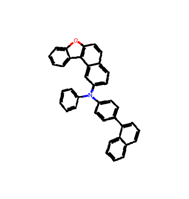 c1ccc(N(c2ccc(-c3cccc4ccccc34)cc2)c2ccc3ccc4oc5ccccc5c4c3c2)cc1